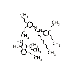 CCCCCCCC=CC(C=Nc1ccc(CCCC)c(CCCC)c1)=Nc1ccc(CCCC)c(CCCC)c1.CCCCc1cccc2c(O)c(O)cc(N(C)CC)c12